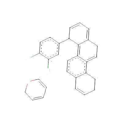 C1=CCOC=C1.Fc1ccc(C2C=CC=C3CC=c4c5c(ccc4=C32)C=CCC5)cc1Cl